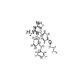 CCCCOc1ccc(C2N=C(N)N=C(N)N2c2cccc(Cc3ccccc3)c2)cc1